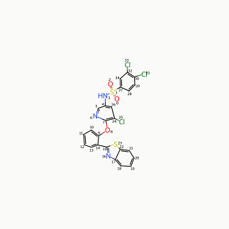 O=S(=O)(Nc1cnc(Oc2ccccc2-c2nc3ccccc3s2)c(Cl)c1)c1ccc(Cl)c(Cl)c1